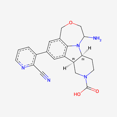 N#Cc1ncccc1-c1cc2c3c(c1)[C@@H]1CN(C(=O)O)CC[C@@H]1N3C(N)COC2